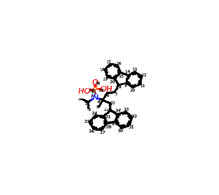 CC(C)N(C(C)(CCC1c2ccccc2-c2ccccc21)CC1c2ccccc2-c2ccccc21)P(=O)(O)O